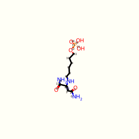 NC(=O)/C=C(\NCCCCCCOP(=O)(O)O)C(N)=O